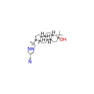 C[C@H](Cn1cc(C#N)cn1)[C@H]1CC[C@H]2[C@@H]3CC[C@@H]4C5C(C)(C)[C@@]5(O)CC[C@@H]4[C@H]3CC[C@]12C